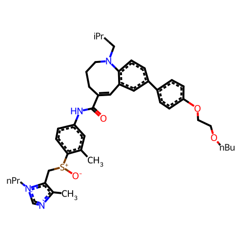 CCCCOCCOc1ccc(-c2ccc3c(c2)C=C(C(=O)Nc2ccc([S+]([O-])Cc4c(C)ncn4CCC)c(C)c2)CCCN3CC(C)C)cc1